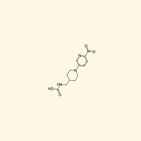 O=C(O)NCC1CCN(c2ccc([N+](=O)[O-])nc2)CC1